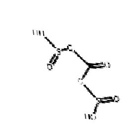 O=C(OS(=O)O)OS(=O)O